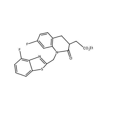 CCOC(=O)CC1Cc2ccc(F)cc2N(Cc2nc3c(F)cccc3s2)C1=O